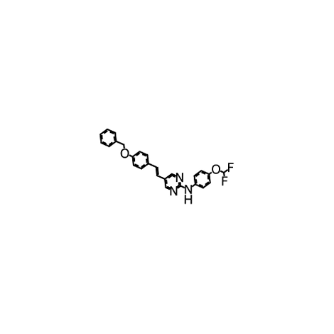 FC(F)Oc1ccc(Nc2ncc(C=Cc3ccc(OCc4ccccc4)cc3)cn2)cc1